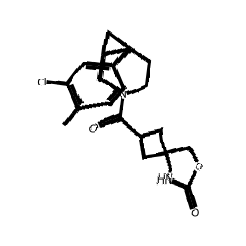 Cc1ccc(C23CCN(C(=O)C4CC5(COC(=O)N5)C4)CC2C3)cc1Cl